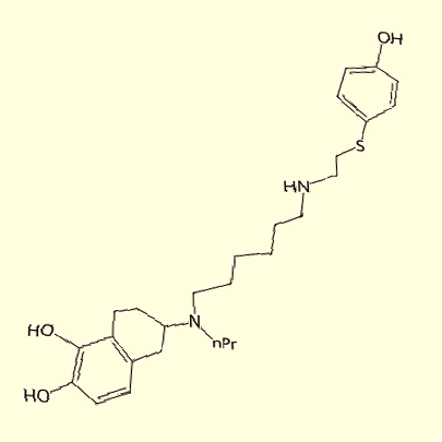 CCCN(CCCCCCNCCSc1ccc(O)cc1)C1CCc2c(ccc(O)c2O)C1